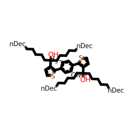 CCCCCCCCCCCCCCCC(O)(CCCCCCCCCCCCCCC)c1ccsc1-c1cc(OC)c(-c2sccc2C(O)(CCCCCCCCCCCCCCC)CCCCCCCCCCCCCCC)cc1C